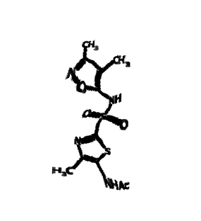 CC(=O)Nc1sc(S(=O)(=O)Nc2onc(C)c2C)nc1C